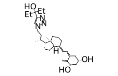 C=C1/C(=C\C=C2CCC[C@]3(C)[C@@H]([C@H](C)CCn4cc(C(O)(CC)CC)nn4)CC[C@@H]23)C[C@H](O)C[C@H]1O